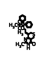 Cc1nc2c(c(=O)[nH]1)CSCC2=CCO[Si](c1ccccc1)(c1ccccc1)C(C)(C)C